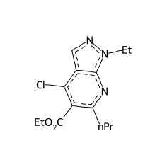 CCCc1nc2c(cnn2CC)c(Cl)c1C(=O)OCC